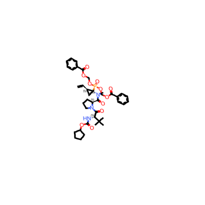 C=C[C@@H]1C[C@]1(N(C)C(=O)[C@@H]1CCCN1C(=O)[C@@H](NC(=O)OC1CCCC1)C(C)(C)C)P(=O)(OCOC(=O)c1ccccc1)OCOC(=O)c1ccccc1